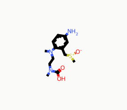 CN(CCN(C)c1ccc(N)cc1C[S+](C)[O-])C(=O)O